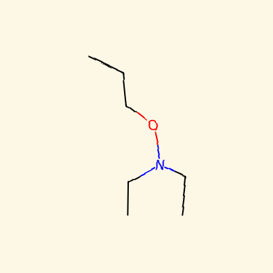 CCCON(CC)CC